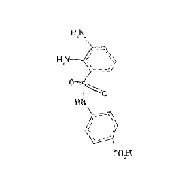 CCOC(=O)c1ccc(NS(=O)(=O)c2cccc(N)c2N)cc1